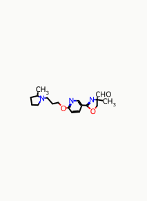 CC1CCCN1CCCOc1ccc(C2=NC(C)(C=O)CO2)cn1